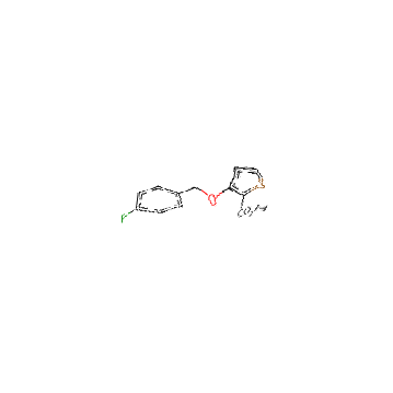 O=C(O)c1sccc1OCc1ccc(F)cc1